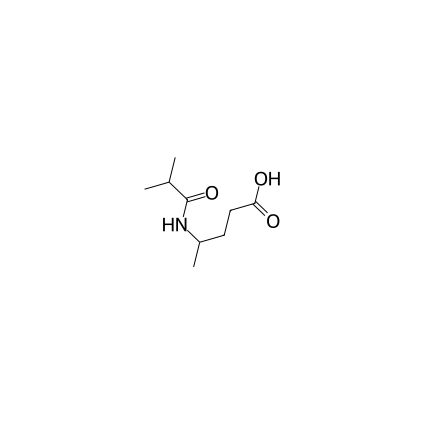 CC(CCC(=O)O)NC(=O)C(C)C